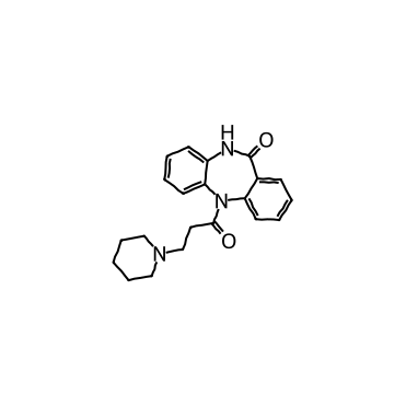 O=C1Nc2ccccc2N(C(=O)CCN2CCCCC2)c2ccccc21